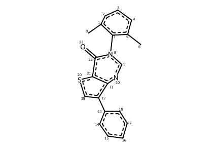 Cc1cccc(C)c1-n1cnc2c(-c3ccccc3)csc2c1=O